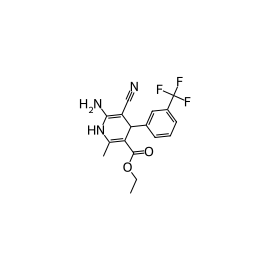 CCOC(=O)C1=C(C)NC(N)=C(C#N)C1c1cccc(C(F)(F)F)c1